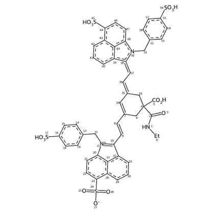 CCNC(=O)C1(C(=O)O)CC(/C=C/C2=[N+](Cc3ccc(S(=O)(=O)O)cc3)c3ccc(S(=O)(=O)[O-])c4cccc2c34)=CC(=C/C=c2\c3cccc4c(S(=O)(=O)O)ccc(c43)n2Cc2ccc(S(=O)(=O)O)cc2)/C1